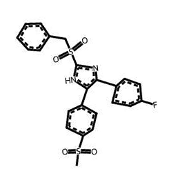 CS(=O)(=O)c1ccc(-c2[nH]c(S(=O)(=O)Cc3ccccc3)nc2-c2ccc(F)cc2)cc1